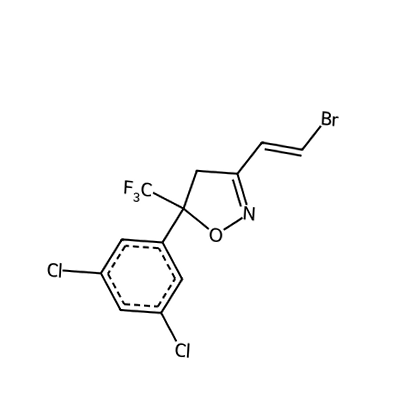 FC(F)(F)C1(c2cc(Cl)cc(Cl)c2)CC(C=CBr)=NO1